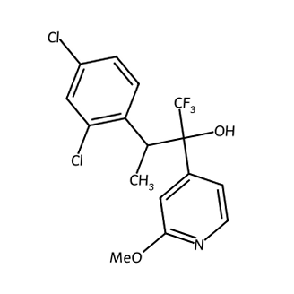 COc1cc(C(O)(C(C)c2ccc(Cl)cc2Cl)C(F)(F)F)ccn1